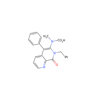 CC(C)Cn1c(N(C)C(=O)O)c(-c2ccccc2)c2cccnc2c1=O